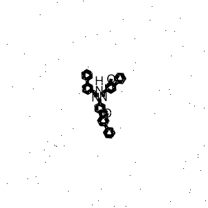 C1=CC(c2ccccc2)CC(C2=NC(c3ccc4c(c3)oc3cc(-c5ccccc5)ccc34)=NC(c3ccc4c(c3)oc3ccccc34)N2)=C1